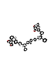 CC1(C)c2cc(-c3ccc(-c4nc(-c5ccccc5)cc(-c5cccc(-c6ccc7c(c6)Oc6ccccc6C76c7ccccc7-c7ccccc76)c5)n4)cc3)ccc2-c2ccc(-c3cc(-c4ccc(-c5ccc6c(c5)Oc5ccccc5C65c6ccccc6-c6ccccc65)cc4)nc(-c4ccccc4)n3)cc21